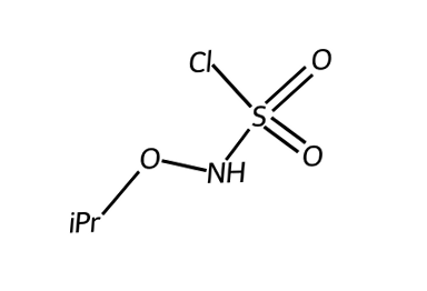 CC(C)ONS(=O)(=O)Cl